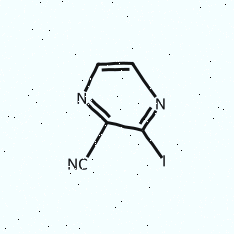 N#Cc1nccnc1I